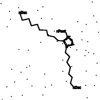 CCCCCCCCCCCCCCCCCCCc1n(CCCCCCCCCCCCCCCCC)cc[n+]1CCCCC